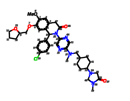 COc1cc2c(cc1OCC1CCCO1)C(c1ccc(Cl)cc1)N(c1cnc(N(C)CC3CCC(N4CC(=O)N(C)C4)CC3)cn1)C(=O)C2